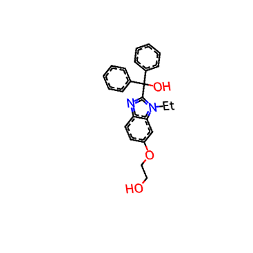 CCn1c(C(O)(c2ccccc2)c2ccccc2)nc2ccc(OCCO)cc21